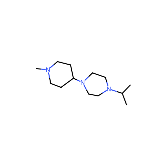 CC(C)N1CCN(C2CCN(C)CC2)CC1